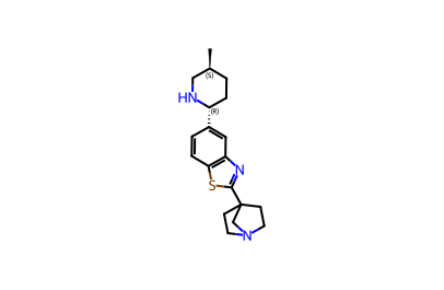 C[C@H]1CC[C@H](c2ccc3sc(C45CCN(CC4)C5)nc3c2)NC1